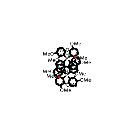 COc1cccc([PH](c2cccc(OC)c2OC)(c2cccc(OC)c2OC)c2ccc3ccccc3c2-c2c([PH](c3cccc(OC)c3OC)(c3cccc(OC)c3OC)c3cccc(OC)c3OC)ccc3ccccc23)c1OC